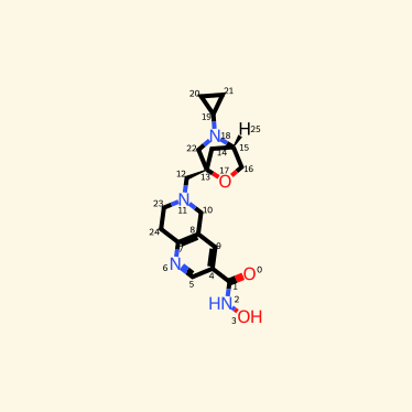 O=C(NO)c1cnc2c(c1)CN(C[C@@]13C[C@@H](CO1)N(C1CC1)C3)CC2